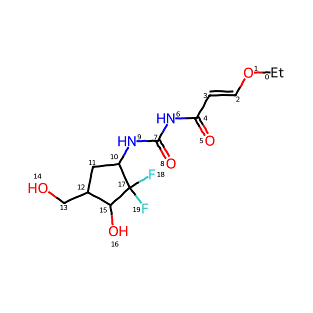 CCO/C=C/C(=O)NC(=O)NC1CC(CO)C(O)C1(F)F